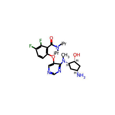 CC(C)N(C(=O)c1c(Oc2cncnc2N(C)[C@H]2C[C@@H](N)C[C@H]2O)ccc(F)c1F)C(C)C